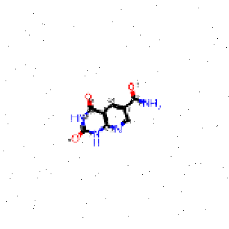 NC(=O)c1cnc2[nH]c(=O)[nH]c(=O)c2c1